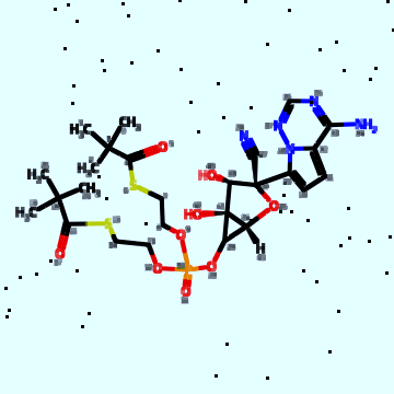 CC(C)(C)C(=O)SCCOP(=O)(OCCSC(=O)C(C)(C)C)OC1[C@H]2O[C@@](C#N)(c3ccc4c(N)ncnn34)[C@H](O)[C@@]12O